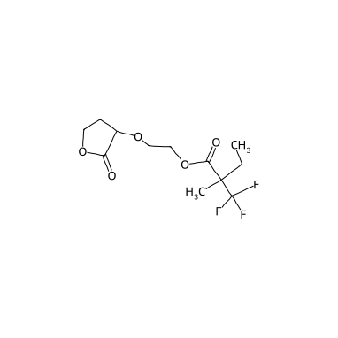 CCC(C)(C(=O)OCCOC1CCOC1=O)C(F)(F)F